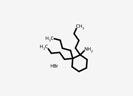 Br.CCCCC1(N)CCCCC1(CCCC)CCCC